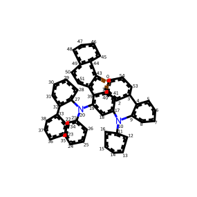 c1ccc(-c2ccccc2N(c2ccccc2)c2cc(N(c3ccccc3)c3ccccc3-c3ccccc3)c3c(c2)sc2c4ccccc4ccc23)cc1